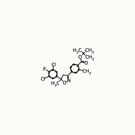 Cc1cc(C2=NO[C@](C)(c3cc(Cl)c(F)c(Cl)c3)C2)ccc1C(=O)OC(C)(C)C